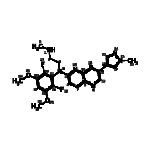 CNCCN(c1ccc2ncc(-c3cnn(C)c3)nc2n1)c1c(F)c(OC)cc(OC)c1F